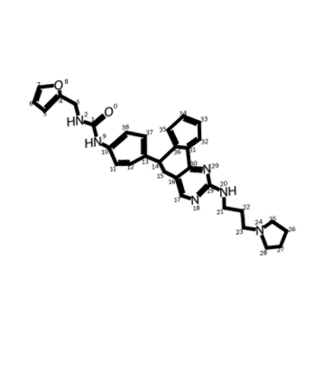 O=C(NCc1ccco1)Nc1ccc(C2Cc3cnc(NCCCN4CCCC4)nc3-c3ccccc32)cc1